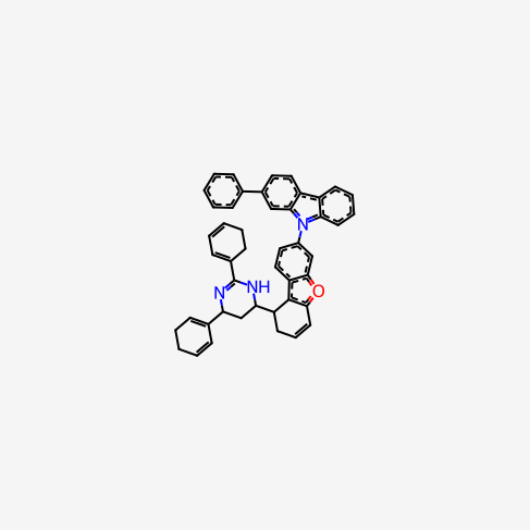 C1=CCCC(C2=NC(C3=CCCC=C3)CC(C3CC=Cc4oc5cc(-n6c7ccccc7c7ccc(-c8ccccc8)cc76)ccc5c43)N2)=C1